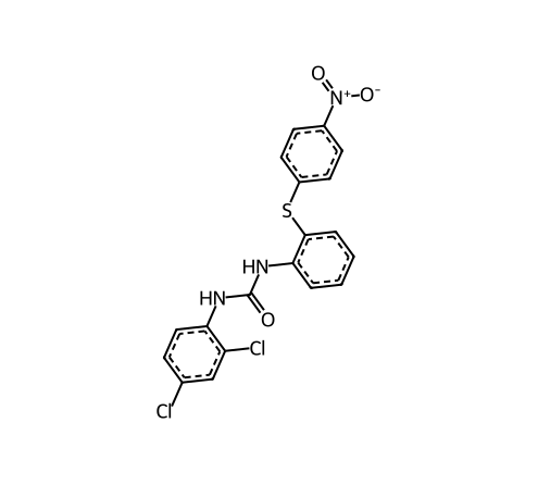 O=C(Nc1ccc(Cl)cc1Cl)Nc1ccccc1Sc1ccc([N+](=O)[O-])cc1